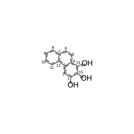 Oc1cc2c(ccc3ccccc32)c(O)c1O